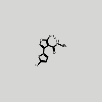 CCc1ccc(-c2noc(N)c2C(=O)NC(C)(C)C)s1